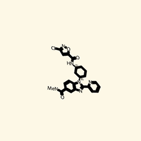 CNC(=O)c1ccc2c(c1)nc(-c1ccccn1)n2[C@@H]1CCC[C@H](NC(=O)c2cc(Cl)no2)C1